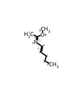 CCC/C=C/N=C(/C)OC